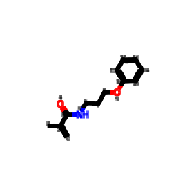 C=C(C)C(=O)NCCCOc1ccccc1